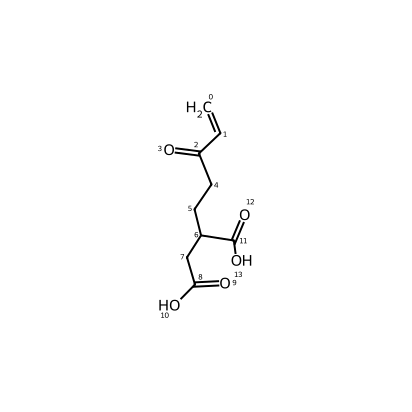 C=CC(=O)CCC(CC(=O)O)C(=O)O